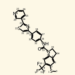 CSc1cc2c(cc1C(F)(F)F)N(C(=O)Nc1ccc(-c3csc(-c4cccnc4)n3)cc1)CC2